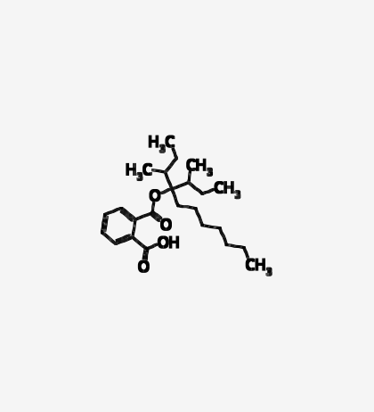 CCCCCCCC(OC(=O)c1ccccc1C(=O)O)(C(C)CC)C(C)CC